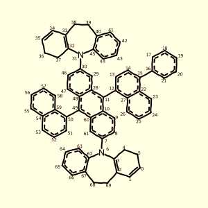 C1=CC2=C(CC1)N(c1ccc3c(-c4ccc(-c5ccccc5)c5ccccc45)c4cc(N5C6=C(C=CCC6)CCc6ccccc65)ccc4c(-c4cccc5ccccc45)c3c1)c1ccccc1CC2